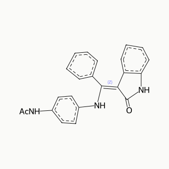 CC(=O)Nc1ccc(N/C(=C2\C(=O)Nc3ccccc32)c2ccccc2)cc1